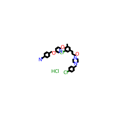 Cc1cc(C=CC(=O)N2CCN(Cc3ccc(Cl)cc3)CC2)cc(Cl)c1Oc1ccc(OCc2ccc(C#N)cc2)cn1.Cl